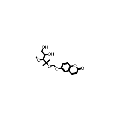 COC(C(O)CO)C(C)(C)OCOc1ccc2oc(=O)ccc2c1